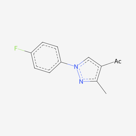 CC(=O)c1cn(-c2ccc(F)cc2)nc1C